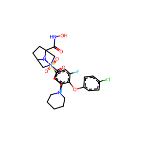 O=C(CCN1CCCCC1)N1CC2CCC(C(=O)NO)(C1)N2S(=O)(=O)c1cc(F)c(Oc2ccc(Cl)cc2)c(F)c1